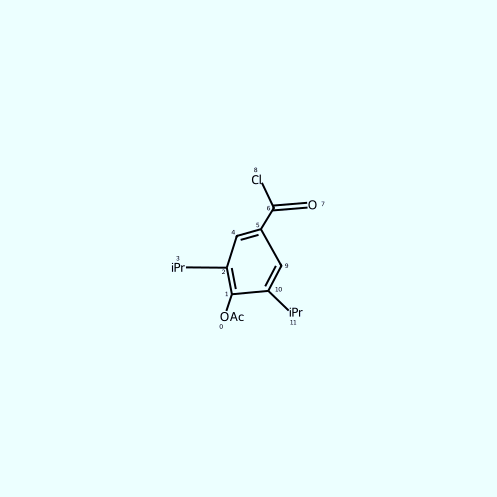 CC(=O)Oc1c(C(C)C)cc(C(=O)Cl)cc1C(C)C